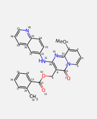 COc1cccn2c(=O)c(COC(=O)c3ccccc3C)c(Nc3ccc4ncccc4c3)nc12